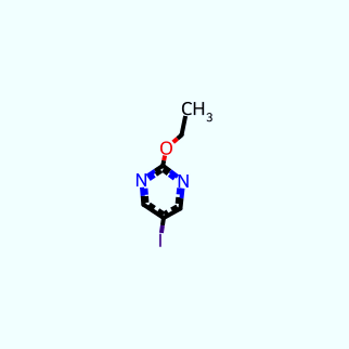 CCOc1ncc(I)cn1